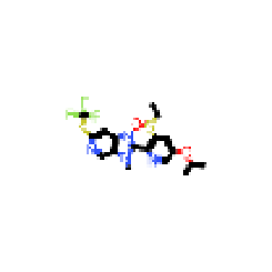 CC[S+]([O-])c1cc(OC(C)C)cnc1-c1nc2cc(SC(F)(F)F)ncc2n1C